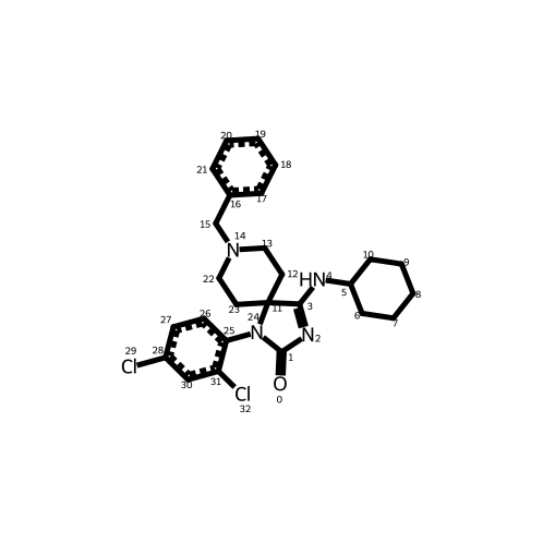 O=C1N=C(NC2CCCCC2)C2(CCN(Cc3ccccc3)CC2)N1c1ccc(Cl)cc1Cl